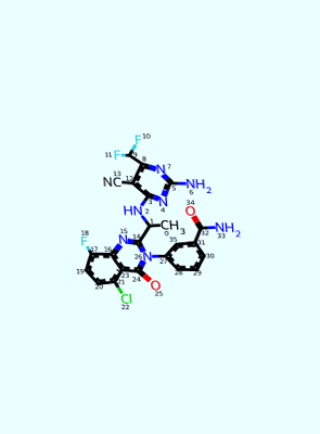 CC(Nc1nc(N)nc(C(F)F)c1C#N)c1nc2c(F)ccc(Cl)c2c(=O)n1-c1cccc(C(N)=O)c1